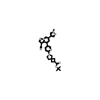 Cn1cc(-c2cc(-c3ccc(N4CCC5(CC(C(=O)OC(C)(C)C)C5)C4)nc3)c3c(C#N)cnn3c2)cn1